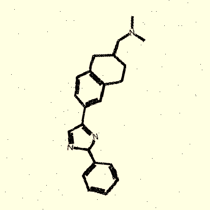 CN(C)CC1CCc2cc(C3=NC(c4ccccc4)N=C3)ccc2C1